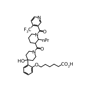 CCCC1C(C(=O)N2CCC(O)(c3ccccc3OCCCCCC(=O)O)CC2)CCCN1C(=O)c1cnccc1C(F)(F)F